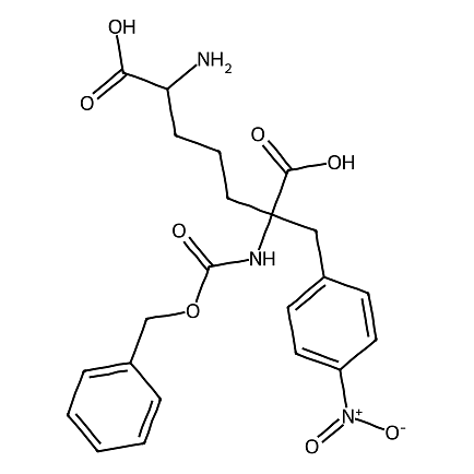 NC(CCCC(Cc1ccc([N+](=O)[O-])cc1)(NC(=O)OCc1ccccc1)C(=O)O)C(=O)O